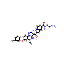 Cc1cc(Oc2cccc(C#N)c2)ccc1-n1ncc(C(=O)c2cc3cc(C(=O)NCCN)ccc3[nH]2)c1N